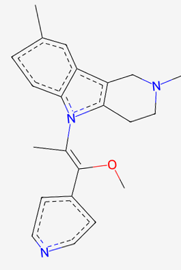 COC(=C(C)n1c2c(c3cc(C)ccc31)CN(C)CC2)c1ccncc1